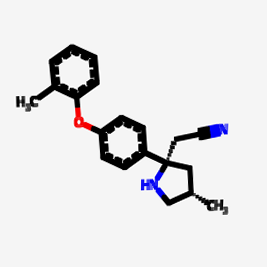 Cc1ccccc1Oc1ccc([C@@]2(CC#N)C[C@H](C)CN2)cc1